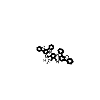 CCc1c(C#N)c(-n2c3ccccc3c3c4oc5ccccc5c4ccc32)cc(-n2c3ccccc3c3c4oc5ccccc5c4ccc32)c1C#N